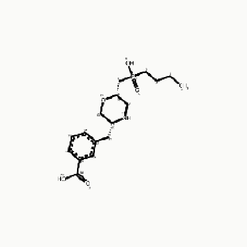 CCCCP(=O)(O)C[C@@H]1CN[C@H](Cc2cccc(C(=O)O)c2)CO1